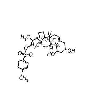 Cc1ccc(S(=O)(=O)OCC(C)[C@H]2CC[C@H]3[C@@H]4CC=C5CC(O)CC(O)[C@]5(C)[C@H]4CC[C@]23C)cc1